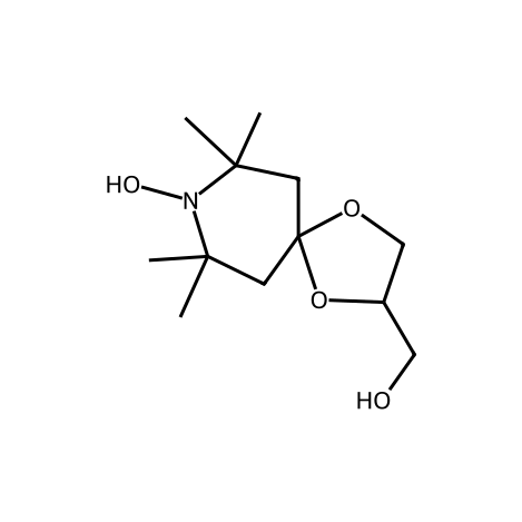 CC1(C)CC2(CC(C)(C)N1O)OCC(CO)O2